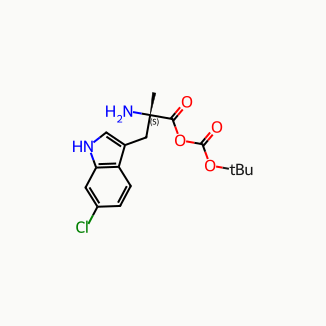 CC(C)(C)OC(=O)OC(=O)[C@@](C)(N)Cc1c[nH]c2cc(Cl)ccc12